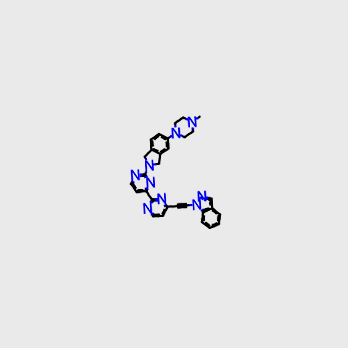 CN1CCN(c2ccc3c(c2)CN(c2nccc(-c4nccc(C#Cn5ncc6ccccc65)n4)n2)C3)CC1